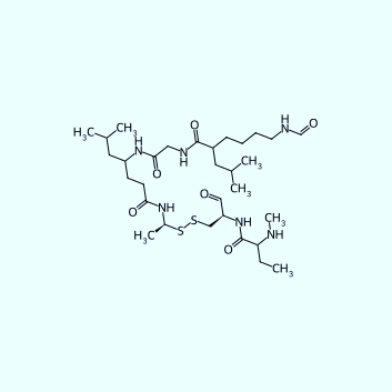 CCC(NC)C(=O)N[C@H](C=O)CSS[C@@H](C)NC(=O)CCC(CC(C)C)NC(=O)CNC(=O)C(CCCCNC=O)CC(C)C